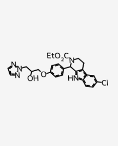 CCOC(=O)N1CCc2c([nH]c3ccc(Cl)cc23)C1c1ccc(OCC(O)Cn2nccn2)cc1